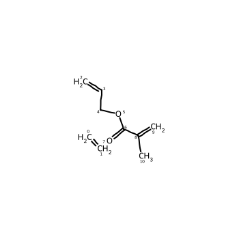 C=C.C=CCOC(=O)C(=C)C